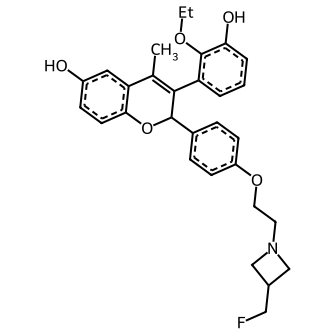 CCOc1c(O)cccc1C1=C(C)c2cc(O)ccc2OC1c1ccc(OCCN2CC(CF)C2)cc1